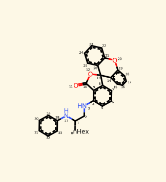 CCCCCCC(CNc1cccc2c1C(=O)OC21c2ccccc2Oc2ccccc21)Nc1ccccc1